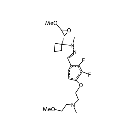 COCCN(C)CCOc1ccc(/C=N/N(C)C2([C@H]3OC3OC)CCC2)c(F)c1F